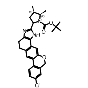 C[C@@H]1CC(c2nc3c([nH]2)-c2cc4c(cc2CC3)-c2ccc(Cl)cc2CO4)N(C(=O)OC(C)(C)C)[C@@H]1C